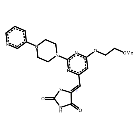 COCCOc1cc(/C=C2\SC(=O)NC2=O)nc(N2CCN(c3cccnc3)CC2)n1